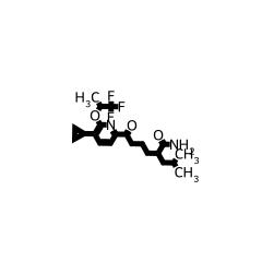 CC(C)CC(CCCC(=O)c1ccc(C2CC2)c(OC(C)C(F)(F)F)n1)C(N)=O